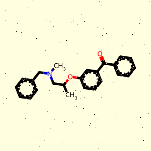 CC(CN(C)Cc1ccccc1)Oc1cccc(C(=O)c2ccccc2)c1